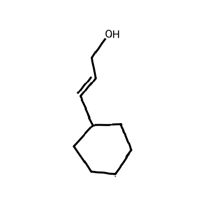 OCC=CC1CC[CH]CC1